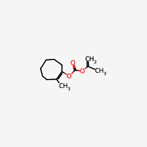 C=C(C)OC(=O)O/C1=C(\C)CCCCCC1